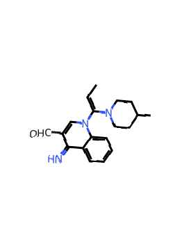 CC=C(N1CCC(C)CC1)n1cc(C=O)c(=N)c2ccccc21